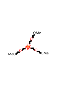 COCCCOCCCOP(=O)(OCCCOCCCOC)OCCCOCCCOC